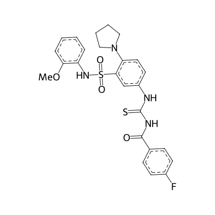 COc1ccccc1NS(=O)(=O)c1cc(NC(=S)NC(=O)c2ccc(F)cc2)ccc1N1CCCC1